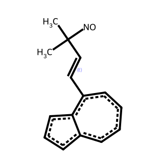 CC(C)(/C=C/c1ccccc2cccc1-2)N=O